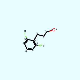 [O]CCCc1c(F)cccc1F